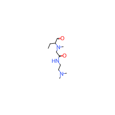 CCC(C=O)N(C)CC(=O)NCCN(C)C